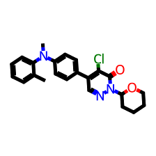 Cc1ccccc1N(C)c1ccc(-c2cnn(C3CCCCO3)c(=O)c2Cl)cc1